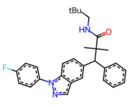 CC(C)(C)CNC(=O)C(C)(C)C(c1ccccc1)c1ccc2c(cnn2-c2ccc(F)cc2)c1